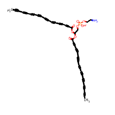 CC#CC#CC#CC#CC#CC#CC#CC#CC(=O)OC(COP(=O)(O)OCCN)OC(=O)C#CC#CC#CC#CC#CC#CC#CC#CC